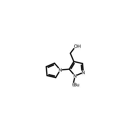 CC(C)(C)n1ncc(CO)c1-n1cccc1